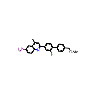 COCc1ccc(-c2ccc(-c3cc(C)c4cc(P)ccc4n3)cc2F)cc1